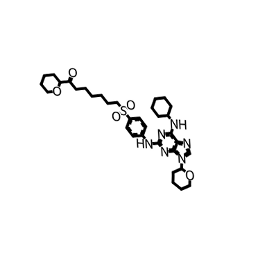 O=C(CCCCCCS(=O)(=O)c1ccc(Nc2nc(NC3CCCCC3)c3ncn(C4CCCCO4)c3n2)cc1)C1CCCCO1